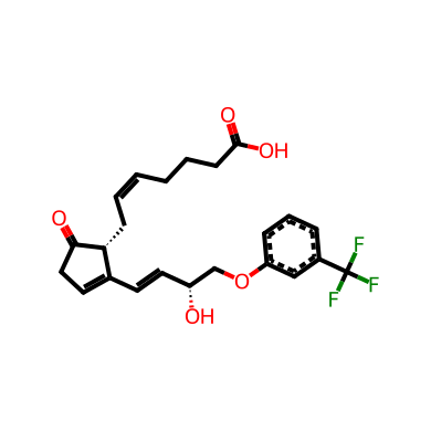 O=C(O)CCC/C=C\C[C@H]1C(=O)CC=C1/C=C/[C@@H](O)COc1cccc(C(F)(F)F)c1